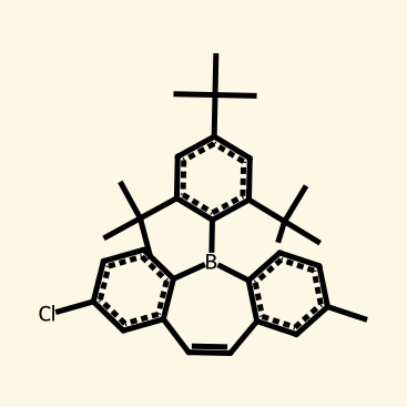 Cc1ccc2c(c1)C=Cc1cc(Cl)ccc1B2c1c(C(C)(C)C)cc(C(C)(C)C)cc1C(C)(C)C